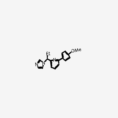 CCC(c1cccc(-c2ccc(OC)cc2)n1)n1ccnc1